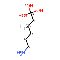 NCCC[SiH2]CC(O)(O)O